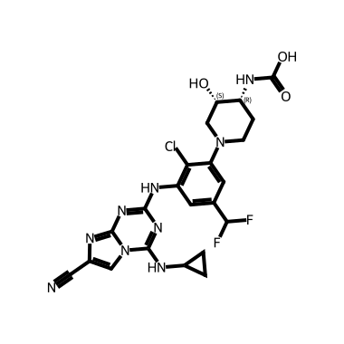 N#Cc1cn2c(NC3CC3)nc(Nc3cc(C(F)F)cc(N4CC[C@@H](NC(=O)O)[C@@H](O)C4)c3Cl)nc2n1